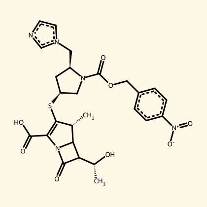 C[C@@H](O)C1C(=O)N2C(C(=O)O)=C(S[C@H]3C[C@@H](Cn4ccnc4)N(C(=O)OCc4ccc([N+](=O)[O-])cc4)C3)[C@H](C)C12